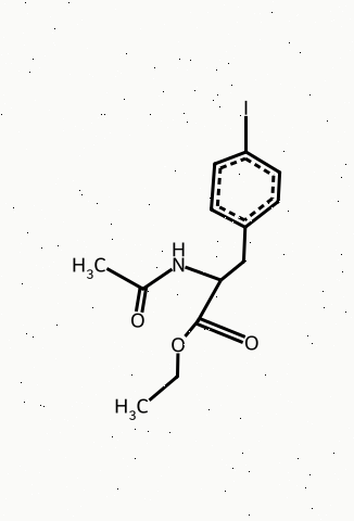 CCOC(=O)C(Cc1ccc(I)cc1)NC(C)=O